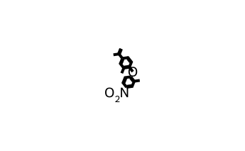 C=C(C)c1ccc(Oc2ccc([N+](=O)[O-])cc2C)c(C)c1